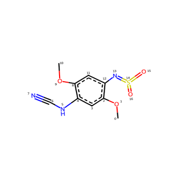 COc1cc(NC#N)c(OC)cc1N=S(=O)=O